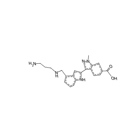 Cn1nc(-c2cc3c(CNCCCN)cccc3[nH]2)c2ccc(C(=O)O)cc21